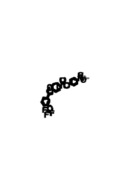 O=C(Oc1ccc([N+](=O)[O-])cc1)N1CCC2(CC1)CC(c1cccc(OC(F)(F)F)c1)CO2